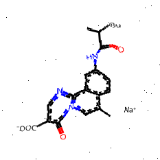 CCC(C)C(C)C(=O)Nc1ccc2c(C)cn3c(=O)c(C(=O)[O-])cnc3c2c1.[Na+]